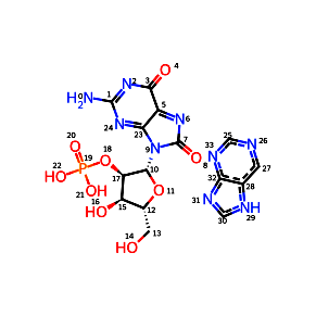 NC1=NC(=O)C2=NC(=O)N([C@@H]3O[C@H](CO)[C@@H](O)[C@H]3OP(=O)(O)O)C2=N1.c1ncc2[nH]cnc2n1